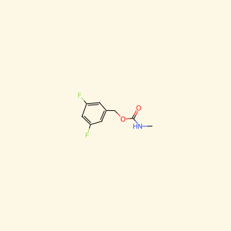 CNC(=O)OCc1cc(F)cc(F)c1